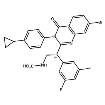 O=C(O)NC[C@@H](c1cc(F)cc(F)c1)c1nc2cc(Br)ccc2c(=O)n1-c1ccc(C2CC2)cc1